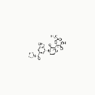 CC(=O)O[C@@H](C(=O)O)[C@H]1OCCN(c2cc(C)cc(C(=O)N3CCCC3)c2)C1=O